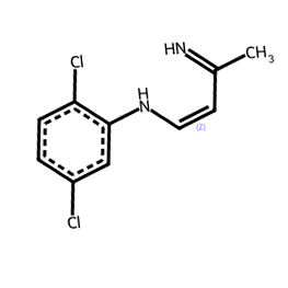 CC(=N)/C=C\Nc1cc(Cl)ccc1Cl